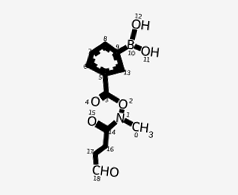 CN(OC(=O)c1cccc(B(O)O)c1)C(=O)CCC=O